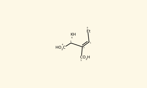 CCC=C(CC(=O)O)C(=O)O.[KH]